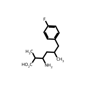 CC(Cc1ccc(F)cc1)CC(N)C(C)C(=O)O